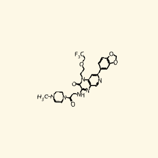 CN1CCN(C(=O)CNc2nc3cnc(-c4ccc5c(c4)OCO5)cc3n(CCOCC(F)(F)F)c2=O)CC1